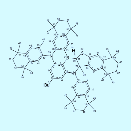 CCC(C)c1cc2c3c(c1)N(c1ccc4c(c1)C(C)(C)CCC4(C)C)C1(C)c4cc5c(cc4S[C@@H]1B3c1cc3c(cc1N2c1cc2c(cc1C)C(C)(C)CCC2(C)C)C(C)(C)CCC3(C)C)C(C)(C)CCC5(C)C